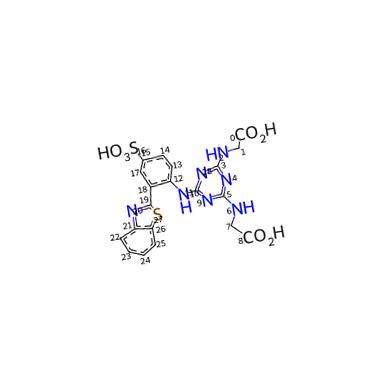 O=C(O)CNc1nc(NCC(=O)O)nc(Nc2ccc(S(=O)(=O)O)cc2-c2nc3ccccc3s2)n1